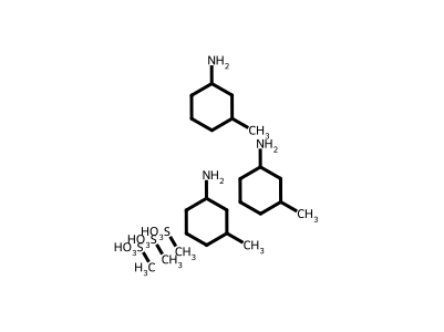 CC1CCCC(N)C1.CC1CCCC(N)C1.CC1CCCC(N)C1.CS(=O)(=O)O.CS(=O)(=O)O.CS(=O)(=O)O